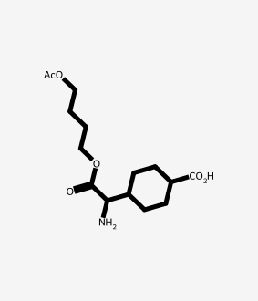 CC(=O)OCCCCOC(=O)C(N)C1CCC(C(=O)O)CC1